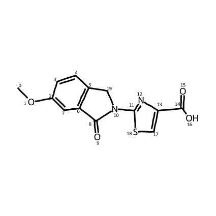 COc1ccc2c(c1)C(=O)N(c1nc(C(=O)O)cs1)C2